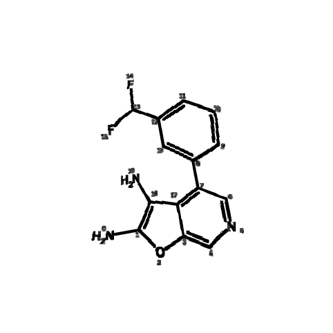 Nc1oc2cncc(-c3cccc(C(F)F)c3)c2c1N